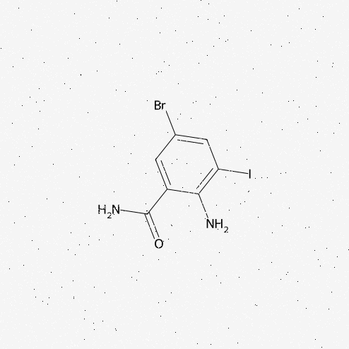 NC(=O)c1cc(Br)cc(I)c1N